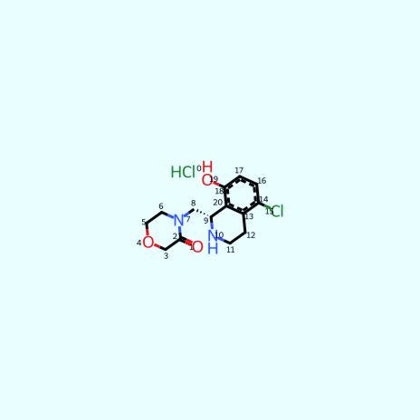 Cl.O=C1COCCN1C[C@H]1NCCc2c(Cl)ccc(O)c21